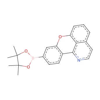 CC1(C)OB(c2ccc3c(c2)Oc2cccc4ccnc-3c24)OC1(C)C